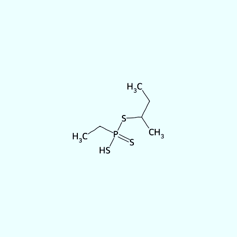 CCC(C)SP(=S)(S)CC